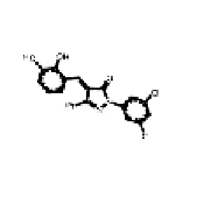 CC(C)C1=NN(c2cc(Cl)cc(Cl)c2)C(=O)/C1=C/c1cccc(O)c1O